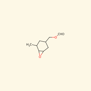 CC1CC(COC=O)CC2OC12